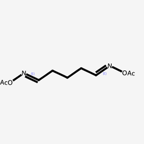 CC(=O)O/N=C/CCC/C=N/OC(C)=O